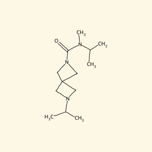 CC(C)N1CC2(CN(C(=O)N(C)C(C)C)C2)C1